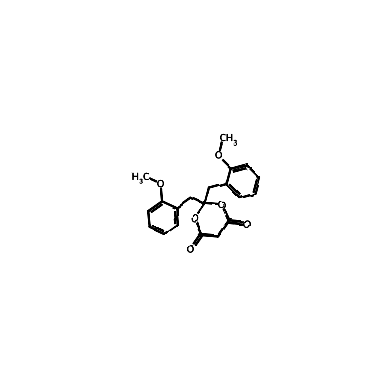 COc1ccccc1CC1(Cc2ccccc2OC)OC(=O)CC(=O)O1